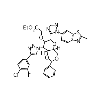 CCOC(=O)CO[C@@H]1[C@@H](n2cc(-c3ccc(Cl)c(F)c3)nn2)[C@H]2OC(c3ccccc3)OC[C@H]2O[C@H]1c1ncnn1-c1ccc2nc(C)sc2c1